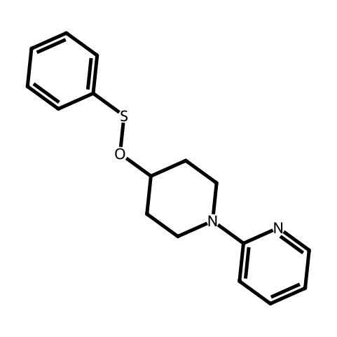 c1ccc(SOC2CCN(c3ccccn3)CC2)cc1